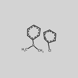 CN(C)c1ccccc1.Clc1ccccc1